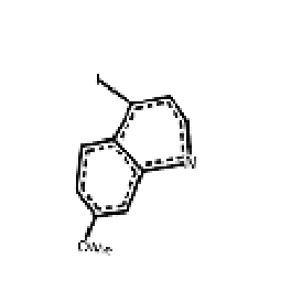 COc1ccc2c(I)ccnc2c1